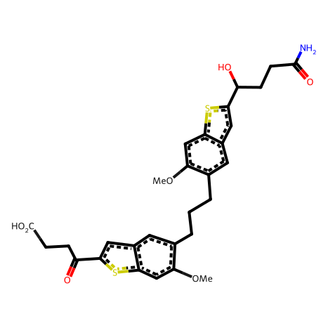 COc1cc2sc(C(=O)CCC(=O)O)cc2cc1CCCc1cc2cc(C(O)CCC(N)=O)sc2cc1OC